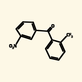 O=C(c1cccc([N+](=O)[O-])c1)c1ccccc1C(F)(F)F